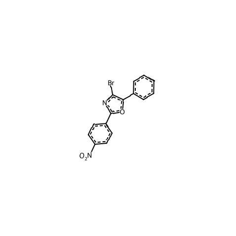 O=[N+]([O-])c1ccc(-c2nc(Br)c(-c3ccccc3)o2)cc1